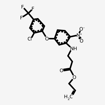 C=CCOC(=O)CCNc1cc(Oc2ccc(C(F)(F)F)cc2Cl)ccc1[N+](=O)[O-]